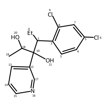 CCC(c1ccc(Cl)cc1Cl)C(O)(c1cccnc1)C(C)O